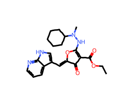 CCOC(=O)C1=C(NN(C)C2CCCCC2)O/C(=C\c2c[nH]c3ncccc23)C1=O